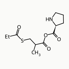 CCC(=O)SCC(C)C(=O)OC(=O)[C@@H]1CCCN1